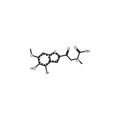 COc1cc2sc(C(=O)C[C@H](C)C(=O)O)cc2c(Br)c1O